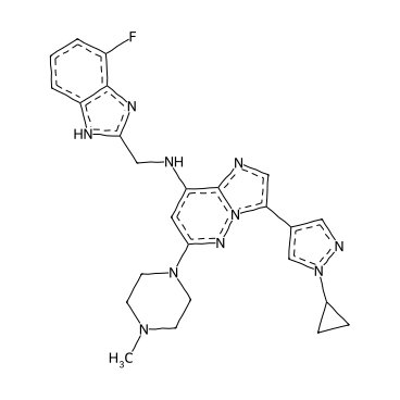 CN1CCN(c2cc(NCc3nc4c(F)cccc4[nH]3)c3ncc(-c4cnn(C5CC5)c4)n3n2)CC1